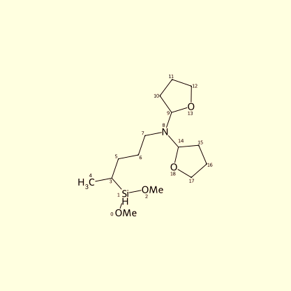 CO[SiH](OC)C(C)CCCN(C1CCCO1)C1CCCO1